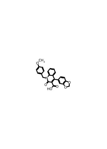 COc1ccc(Cn2c(=O)c(C(=O)O)c(-c3ccc4c(c3)OCO4)c3ccccc32)cc1